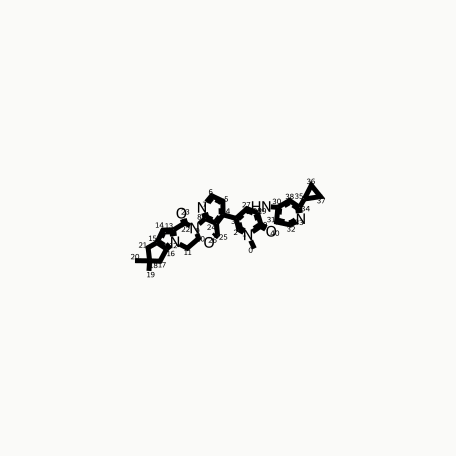 Cn1cc(-c2ccnc(N3CCn4c(cc5c4CC(C)(C)C5)C3=O)c2C=O)cc(Nc2ccnc(C3CC3)c2)c1=O